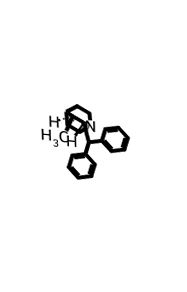 C[C@H]1C2CCN(CC2)[C@@H]1C(c1ccccc1)c1ccccc1